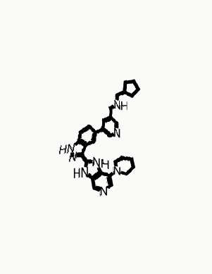 c1ncc(-c2ccc3[nH]nc(C4Nc5cncc(N6CCCCC6)c5N4)c3c2)cc1CNCC1CCCC1